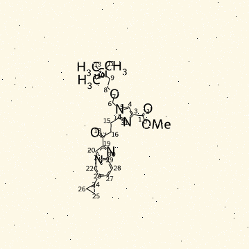 COC(=O)c1cn(COCC[Si](C)(C)C)c(CCC(=O)c2cn3cc(C4CC4)ccc3n2)n1